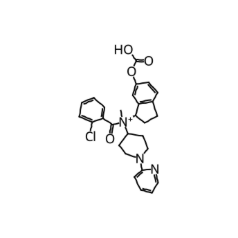 C[N+](C(=O)c1ccccc1Cl)(C1CCN(c2ccccn2)CC1)[C@@H]1CCc2ccc(OC(=O)O)cc21